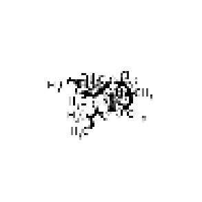 CCC(C)OC(C)(C)CC(C)(C)C(C)(C)OC(C)(C)OC(C)(C)CC(C)(C)OC(=O)OC(=O)C(C)CC